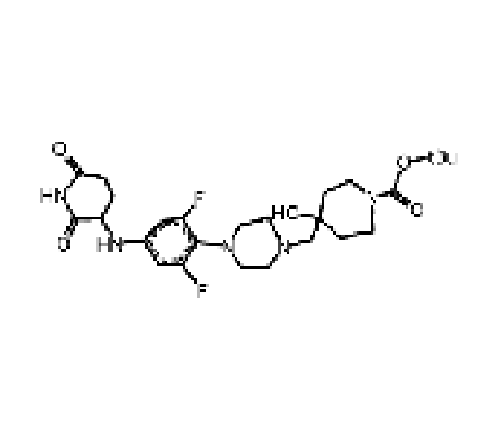 CC(C)(C)OC(=O)N1CCC(O)(CN2CCN(c3c(F)cc(NC4CCC(=O)NC4=O)cc3F)CC2)CC1